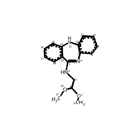 COC(CNC1=Nc2ccccc2Nc2ccccc21)OC